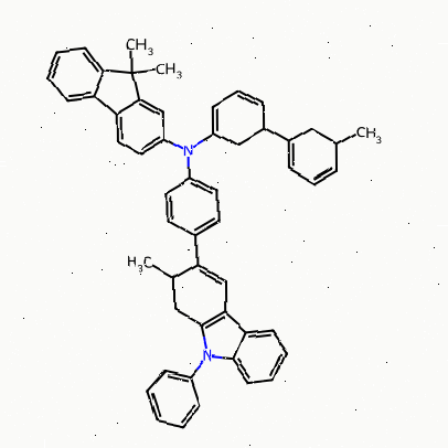 CC1C=CC=C(C2C=CC=C(N(c3ccc(C4=Cc5c(n(-c6ccccc6)c6ccccc56)CC4C)cc3)c3ccc4c(c3)C(C)(C)c3ccccc3-4)C2)C1